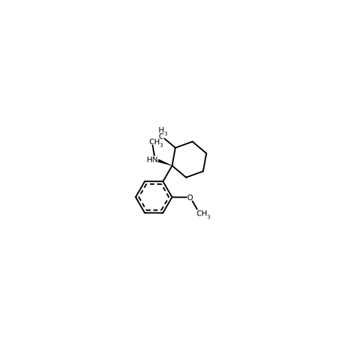 CN[C@]1(c2ccccc2OC)CCCCC1C